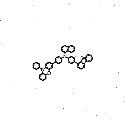 c1ccc(N2c3ccccc3Oc3cc(-c4ccc(N(c5ccc(-c6cccc7c6sc6ccccc67)cc5)c5cccc6ccccc56)cc4)ccc32)cc1